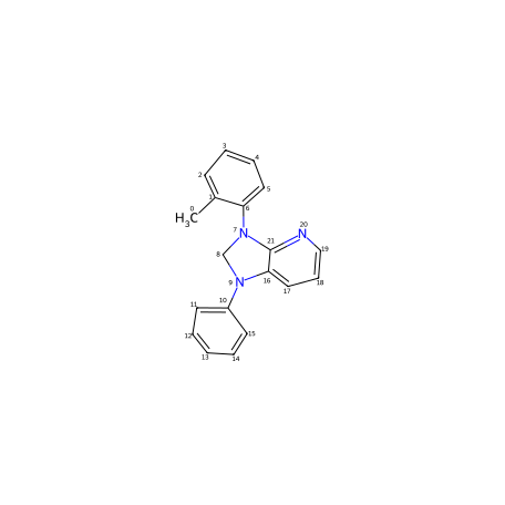 Cc1ccccc1N1CN(c2ccccc2)c2cccnc21